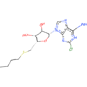 CCCCSC[C@H]1O[C@@H](n2cnc3c(N)nc(Cl)nc32)C(O)C1O